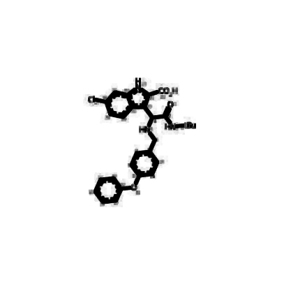 CC(C)(C)NC(=O)C(NCc1ccc(Oc2ccccc2)cc1)c1c(C(=O)O)[nH]c2cc(Cl)ccc12